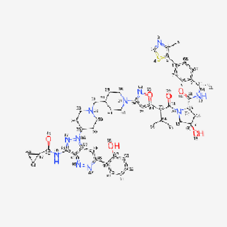 Cc1ncsc1-c1ccc([C@H](C)NC(=O)[C@@H]2C[C@@H](O)CN2C(=O)C(c2cc(N3CCC(CN4CCC(n5nc(NC(=O)C6CC6)c6nnc(-c7ccccc7O)cc65)CC4)CC3)no2)C(C)C)cc1